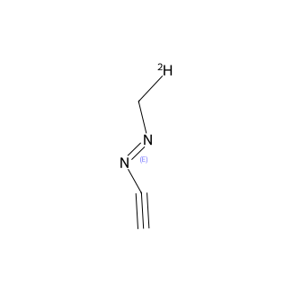 [2H]C/N=N/C#C